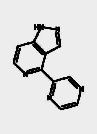 c1cnc(-c2nccc3[nH]ncc23)cn1